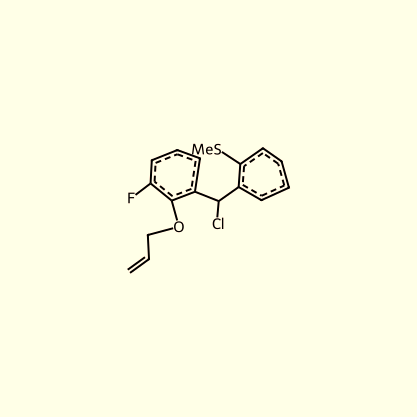 C=CCOc1c(F)cccc1C(Cl)c1ccccc1SC